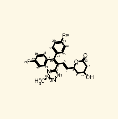 Cn1nnc(C(C=CC2CC(O)CC(=O)O2)=C(c2ccc(F)cc2)c2ccc(F)cc2)n1